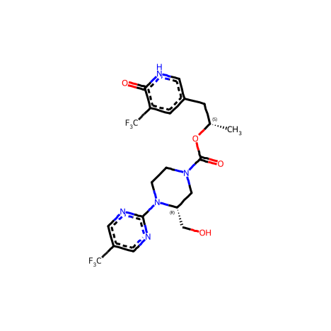 C[C@@H](Cc1c[nH]c(=O)c(C(F)(F)F)c1)OC(=O)N1CCN(c2ncc(C(F)(F)F)cn2)[C@@H](CO)C1